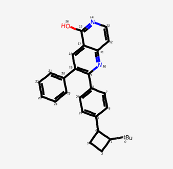 CC(C)(C)C1CC[C]1c1ccc(-c2nc3ccnc(O)c3cc2-c2ccccc2)cc1